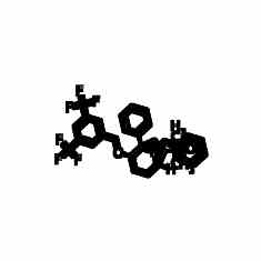 CC(C)(O)[C@@H]1C[C@@]2(c3ccccc3)[C@H](OCc3cc(C(F)(F)F)cc(C(F)(F)F)c3)CC[C@@H]1N2Cc1ccccc1